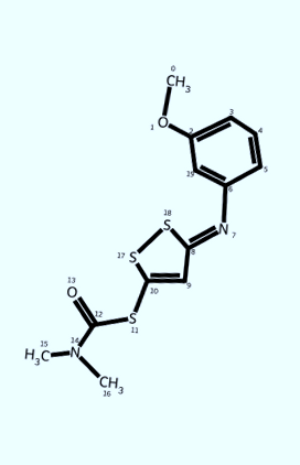 COc1cccc(N=c2cc(SC(=O)N(C)C)ss2)c1